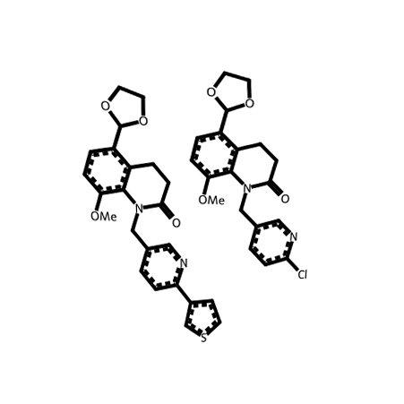 COc1ccc(C2OCCO2)c2c1N(Cc1ccc(-c3ccsc3)nc1)C(=O)CC2.COc1ccc(C2OCCO2)c2c1N(Cc1ccc(Cl)nc1)C(=O)CC2